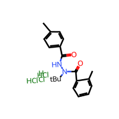 Cc1ccc(C(=O)NN(C(=O)c2ccccc2C)C(C)(C)C)cc1.Cl.Cl.Cl